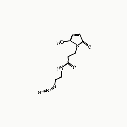 [N-]=[N+]=NCCNC(=O)CCN1C(=O)C=CC1O